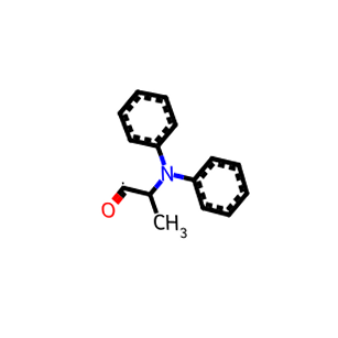 CC([C]=O)N(c1ccccc1)c1ccccc1